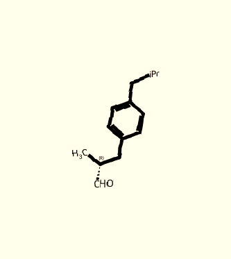 CC(C)Cc1ccc(C[C@@H](C)C=O)cc1